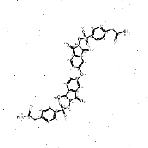 NC(=O)Cc1ccc(S(=O)(=O)ON2C(=O)c3ccc(Oc4ccc5c(c4)C(=O)N(OS(=O)(=O)c4ccc(CC(N)=O)cc4)C5=O)cc3C2=O)cc1